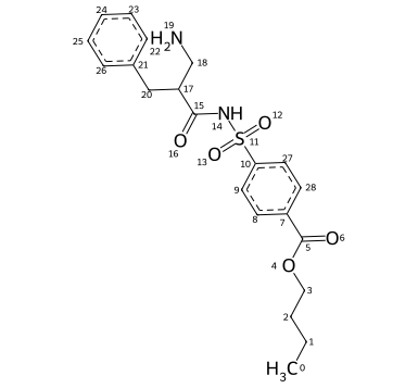 CCCCOC(=O)c1ccc(S(=O)(=O)NC(=O)C(CN)Cc2ccccc2)cc1